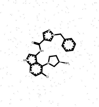 N[C@@H]1CCN(c2c(Cl)cnc3[nH]cc(NC(=O)c4cnn(Cc5ccccc5)c4)c23)C1